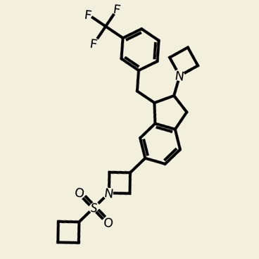 O=S(=O)(C1CCC1)N1CC(c2ccc3c(c2)C(Cc2cccc(C(F)(F)F)c2)C(N2CCC2)C3)C1